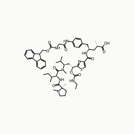 CCNC(=O)O[C@H](C[C@H](C(C)C)N(C)C(=O)[C@@H](NC(=O)[C@@]1(C)CCCN1C)C(C)CC)c1nc(C(=O)N[C@@H](Cc2ccc(NC(=O)CNC(=O)OCC3c4ccccc4-c4ccccc43)cc2)C[C@H](C)C(=O)O)cs1